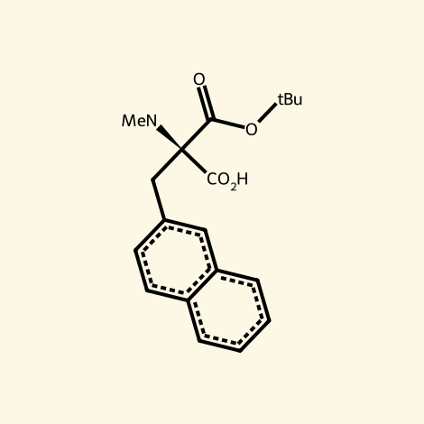 CN[C@](Cc1ccc2ccccc2c1)(C(=O)O)C(=O)OC(C)(C)C